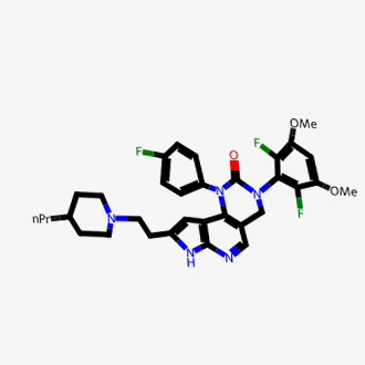 CCCC1CCN(CCc2cc3c4c(cnc3[nH]2)CN(c2c(F)c(OC)cc(OC)c2F)C(=O)N4c2ccc(F)cc2)CC1